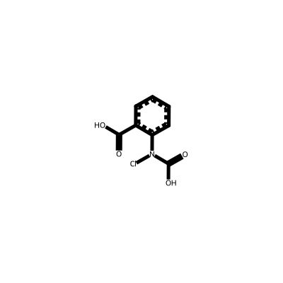 O=C(O)c1ccccc1N(Cl)C(=O)O